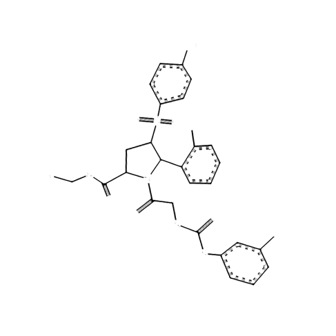 CCOC(=O)c1cccc(NC(=O)NCC(=O)N2C(C(=O)NCC(C)C)CC(S(=O)(=O)c3ccc(C)cc3)C2c2ccccc2F)c1